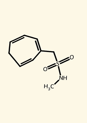 CNS(=O)(=O)CC1=CC=CCC=C1